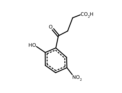 O=C(O)CCC(=O)c1cc([N+](=O)[O-])ccc1O